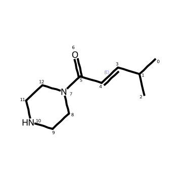 CC(C)/C=C/C(=O)N1CCNCC1